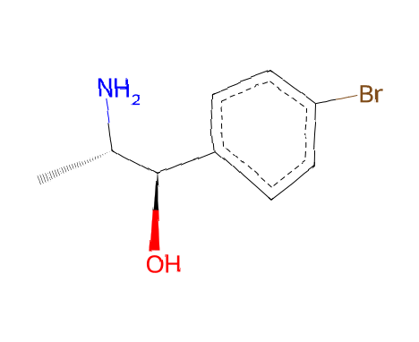 C[C@H](N)[C@H](O)c1ccc(Br)cc1